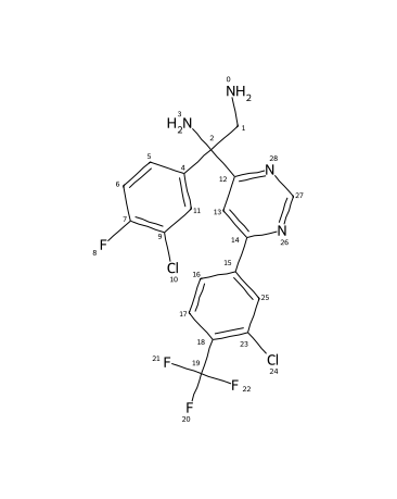 NCC(N)(c1ccc(F)c(Cl)c1)c1cc(-c2ccc(C(F)(F)F)c(Cl)c2)ncn1